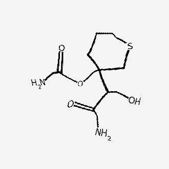 NC(=O)OC1(C(O)C(N)=O)CCCSC1